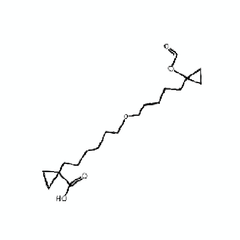 O=COC1(CCCCCOCCCCCCC2(C(=O)O)CC2)CC1